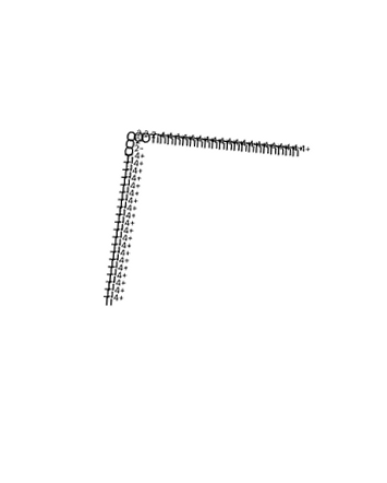 [O-2].[O-2].[O-2].[O-2].[O-2].[Ti+4].[Ti+4].[Ti+4].[Ti+4].[Ti+4].[Ti+4].[Ti+4].[Ti+4].[Ti+4].[Ti+4].[Ti+4].[Ti+4].[Ti+4].[Ti+4].[Ti+4].[Ti+4].[Ti+4].[Ti+4].[Ti+4].[Ti+4].[Ti+4].[Ti+4].[Ti+4].[Ti+4].[Ti+4].[Ti+4].[Ti+4].[Ti+4].[Ti+4].[Ti+4].[Ti+4].[Ti+4].[Ti+4].[Ti+4].[Ti+4].[Ti+4].[Ti+4].[Ti+4].[Ti+4].[Ti+4]